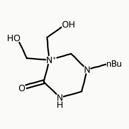 CCCCN1CNC(=O)[N+](CO)(CO)C1